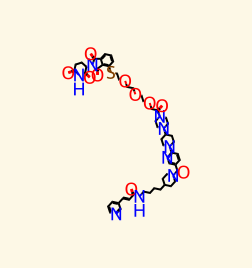 O=C(/C=C/c1cccnc1)NCCCCC1CCN(C(=O)c2ccc(N3CCC(N4CCN(C(=O)COCCOCCOCCSc5cccc6c5C(=O)N(C5CCC(=O)NC5=O)C6=O)CC4)CC3)nc2)CC1